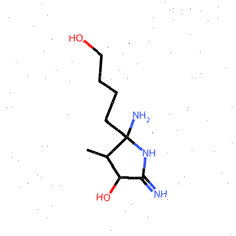 CC1C(O)C(=N)NC1(N)CCCCO